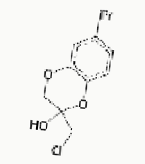 CC(C)c1ccc2c(c1)OCC(O)(CCl)O2